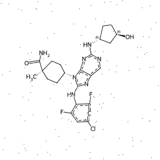 C[C@]1(C(N)=O)CC[C@H](n2c(Nc3c(F)cc(Cl)cc3F)nc3cnc(N[C@@H]4CC[C@@H](O)C4)nc32)CC1